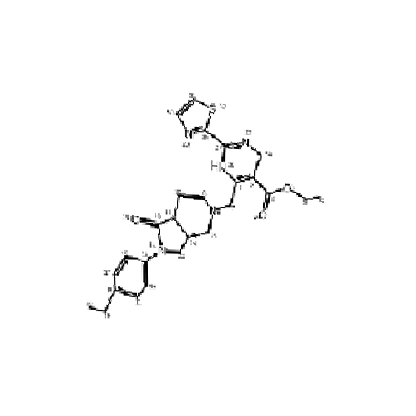 CCOC(=O)C1=C(CN2CCC3C(=O)N(c4ccc(CC)cc4)CC3C2)NC(c2nccs2)=NC1